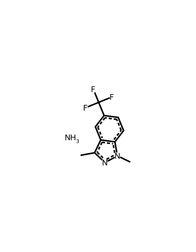 Cc1nn(C)c2ccc(C(F)(F)F)cc12.N